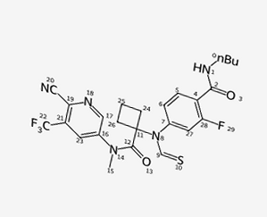 CCCCNC(=O)c1ccc(N(C=S)C2(C(=O)N(C)c3cnc(C#N)c(C(F)(F)F)c3)CCC2)cc1F